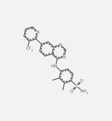 Cc1c(Nc2ncnc3cc(-c4ncccc4C(F)(F)F)ccc23)ccc(S(N)(=O)=O)c1C